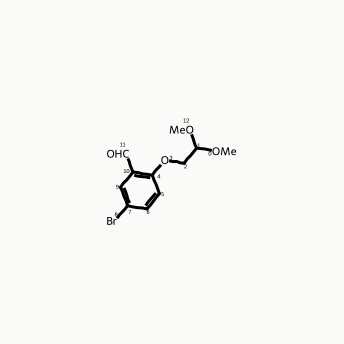 COC(COc1ccc(Br)cc1C=O)OC